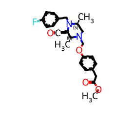 COC(=O)Cc1ccc(OCN2C[C@H](C)N(Cc3ccc(F)cc3)C(=C=O)[C@H]2C)cc1